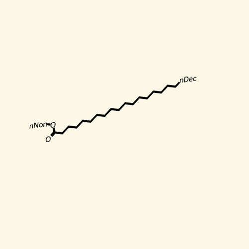 CCCCCCCCCCCCCCCCCCCCCCCCCCCC(=O)OCCCCCCCCC